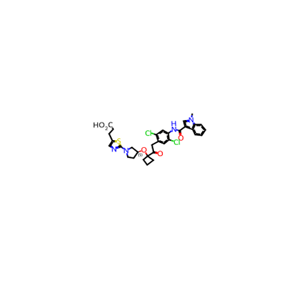 Cn1cc(C(=O)Nc2cc(Cl)c(CC(=O)C3(O[C@H]4CCN(c5ncc(CCC(=O)O)s5)C4)CCC3)cc2Cl)c2ccccc21